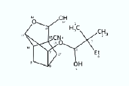 CCC(C)(C)C(O)OC1C2CC3C1OC(O)C3(C#N)C2